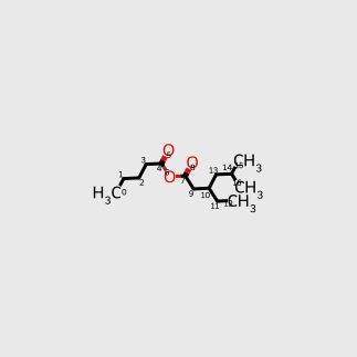 CCCCC(=O)OC(=O)CC(CC)CC(C)C